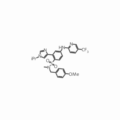 COc1ccc(CN(C)S(=O)(=O)c2ccc(Nc3ccc(C(F)(F)F)cn3)cc2-c2cn(C(C)C)cn2)cc1